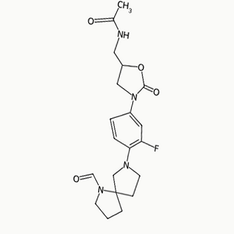 CC(=O)NCC1CN(c2ccc(N3CCC4(CCCN4C=O)C3)c(F)c2)C(=O)O1